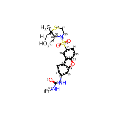 CC(C)NC(=O)Nc1ccc2c(c1)oc1ccc(S(=O)(=O)N3CCSC(C)(C)[C@@H]3C(=O)O)cc12